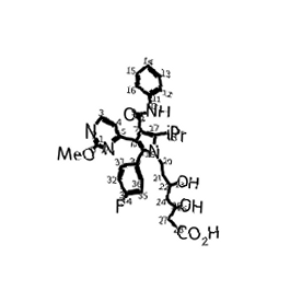 COc1nccc(-c2c(C(=O)Nc3ccccc3)c(C(C)C)n(CCC(O)CC(O)CC(=O)O)c2-c2ccc(F)cc2)n1